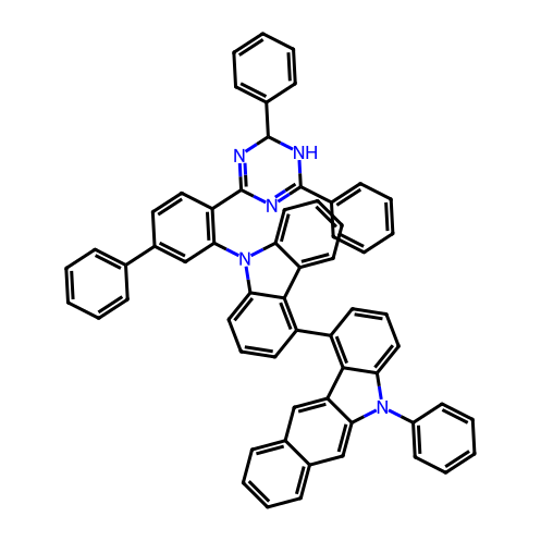 c1ccc(C2=NC(c3ccc(-c4ccccc4)cc3-n3c4ccccc4c4c(-c5cccc6c5c5cc7ccccc7cc5n6-c5ccccc5)cccc43)=NC(c3ccccc3)N2)cc1